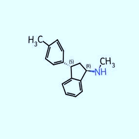 CN[C@@H]1C[C@@H](c2ccc(C)cc2)c2ccccc21